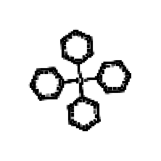 c1cc[c]([Hf]([c]2ccccc2)([c]2ccccc2)[c]2ccccc2)cc1